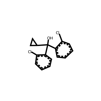 OC(c1ccccc1Cl)(c1ccccc1Cl)C1CC1